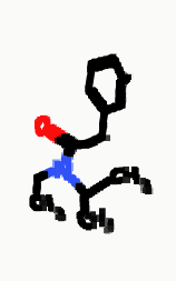 CCN(C(=O)[CH]c1ccccc1)C(C)C